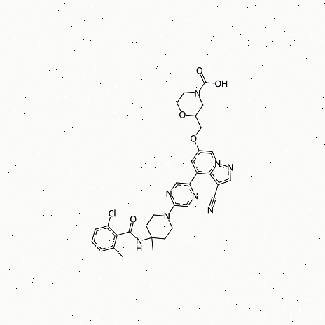 Cc1cccc(Cl)c1C(=O)NC1(C)CCN(c2cnc(-c3cc(OCC4CN(C(=O)O)CCO4)cn4ncc(C#N)c34)cn2)CC1